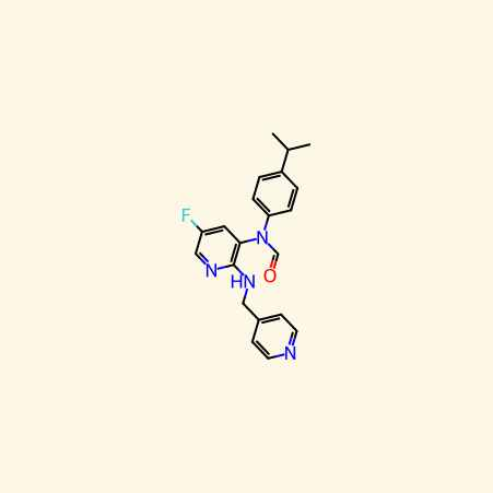 CC(C)c1ccc(N(C=O)c2cc(F)cnc2NCc2ccncc2)cc1